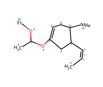 C/C=C\C1CC(OC(C)OCC)=CCC1NC